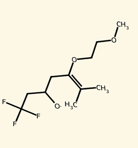 COCCOC(CC([O])CC(F)(F)F)=C(C)C